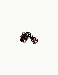 COc1ccc(CN(Cc2ccc(OC)cc2)c2cc(C)c(C(F)(F)F)c(-c3c(Cl)c4c5c(nc(Cl)nc5c3F)N(C(C)c3cccnc3NC(=O)OC(C)(C)C)CCO4)n2)cc1